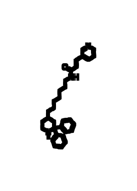 CN1CCC(CCCCCCCNC(=O)C=Cc2cccnc2)CC1(c1ccccc1)c1ccccc1